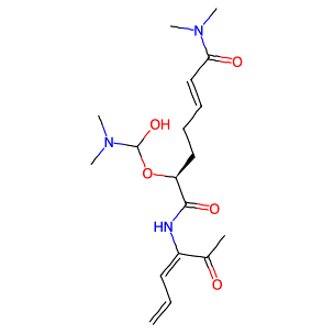 C=C/C=C(/NC(=O)[C@H](CC/C=C/C(=O)N(C)C)OC(O)N(C)C)C(C)=O